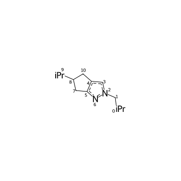 CC(C)Cn1cc2c(n1)CC(C(C)C)C2